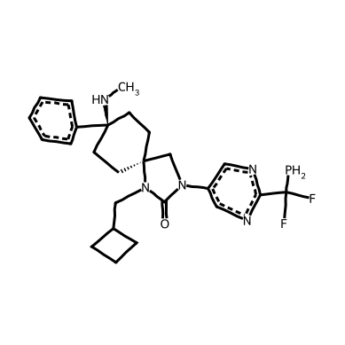 CN[C@]1(c2ccccc2)CC[C@]2(CC1)CN(c1cnc(C(F)(F)P)nc1)C(=O)N2CC1CCC1